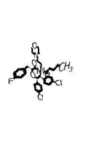 CCCCC(=O)N(CCN1CCOCC1)N1C(=O)[C@@H](Cc2ccc(F)cc2)O[C@H](c2ccc(Cl)cc2)[C@@H]1c1ccc(Cl)cc1